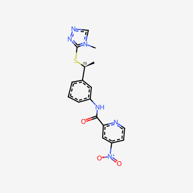 C[C@H](Sc1nncn1C)c1cccc(NC(=O)c2cc([N+](=O)[O-])ccn2)c1